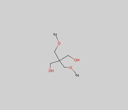 [2H]OCC(CO)(CO)CO[2H]